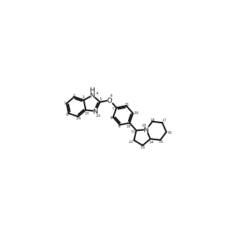 c1ccc2[nH]c(Oc3ccc(C4CCC5CCCCN54)cc3)nc2c1